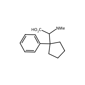 CNC(C(=O)O)C1(c2ccccc2)CCCC1